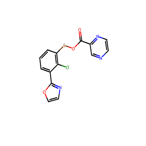 O=C(OSc1cccc(-c2ncco2)c1Cl)c1cnccn1